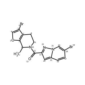 CC1c2occ(Br)c2CCN1C(=O)c1cc2ccc(Br)cn2n1